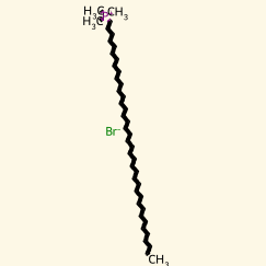 CCCCCCCCCCCCCCCCCCCCCCCCCCCCCCCCCCCCCCC[P+](C)(C)C.[Br-]